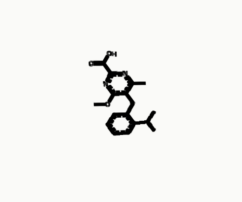 COc1nc(C(=O)O)nc(C)c1Cc1ccccc1C(C)C